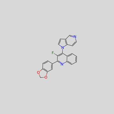 Fc1c(-c2ccc3c(c2)OCO3)nc2ccccc2c1-n1ccc2cnccc21